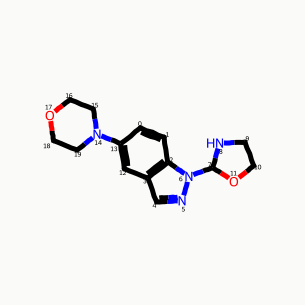 c1cc2c(cnn2C2NCCO2)cc1N1CCOCC1